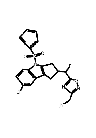 NCc1noc(C(F)C2Cc3c(n(S(=O)(=O)c4ccccc4)c4ccc(Cl)cc34)C2)n1